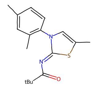 Cc1ccc(-n2cc(C)sc2=NC(=O)C(C)(C)C)c(C)c1